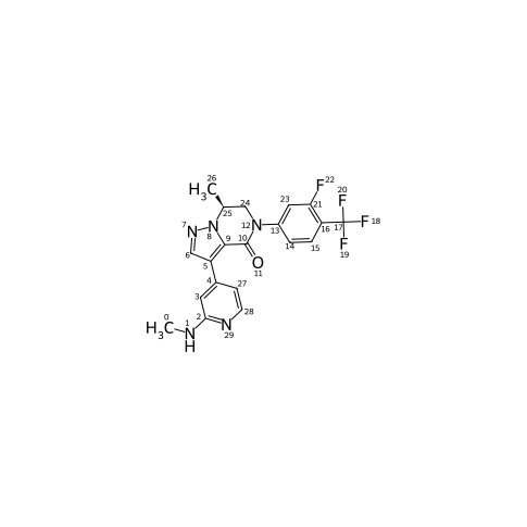 CNc1cc(-c2cnn3c2C(=O)N(c2ccc(C(F)(F)F)c(F)c2)C[C@@H]3C)ccn1